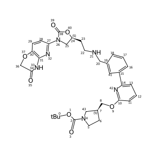 CC(C)(C)OC(=O)N1CC[C@H](COc2cccc(-c3cccc(CNCC[C@H]4CN(c5ccc6c(n5)NC(=O)CO6)C(=O)O4)c3)n2)C1